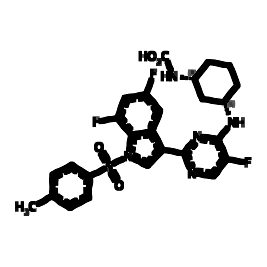 Cc1ccc(S(=O)(=O)n2cc(-c3ncc(F)c(N[C@H]4CCC[C@@H](NC(=O)O)C4)n3)c3cc(F)cc(F)c32)cc1